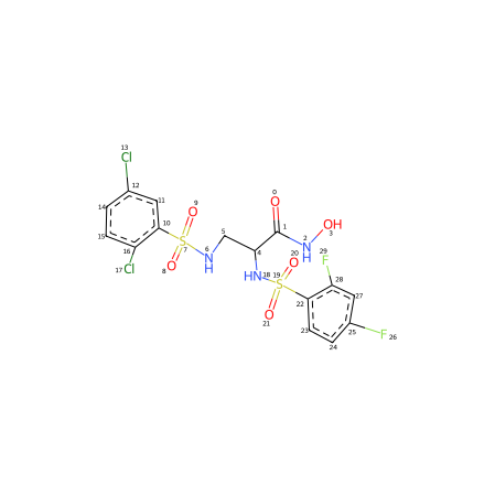 O=C(NO)C(CNS(=O)(=O)c1cc(Cl)ccc1Cl)NS(=O)(=O)c1ccc(F)cc1F